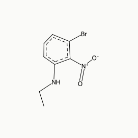 CCNc1cccc(Br)c1[N+](=O)[O-]